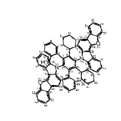 Cc1ccccc1-c1c(C2CCCCC2)c(-n2c3ccccc3c3c4oc5ccccc5c4ccc32)c(C2CCCCC2)c(-c2ccccc2C(F)(F)F)c1-n1c2ccccc2c2c3oc4ccccc4c3ccc21